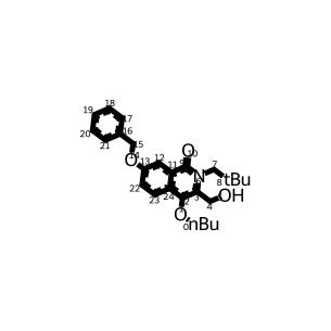 CCCCOc1c(CO)n(CC(C)(C)C)c(=O)c2cc(OCc3ccccc3)ccc12